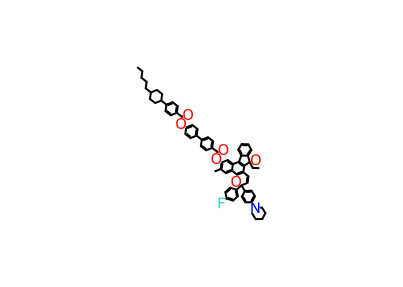 CCCCCC1CCC(c2ccc(C(=O)Oc3ccc(-c4ccc(C(=O)Oc5cc6c7c(c8c(c6cc5C)OC(c5ccc(F)cc5)(c5ccc(N6CCCCC6)cc5)C=C8)C(CC)(OC)c5ccccc5-7)cc4)cc3)cc2)CC1